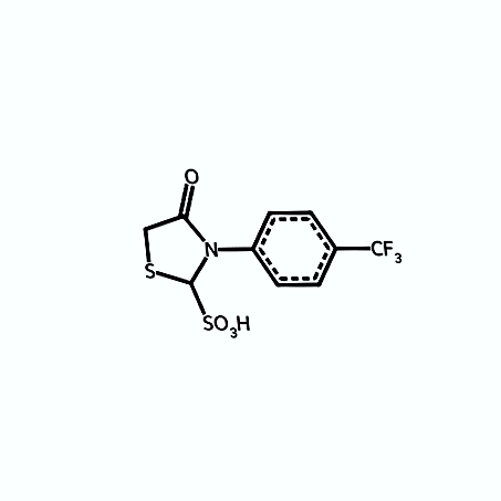 O=C1CSC(S(=O)(=O)O)N1c1ccc(C(F)(F)F)cc1